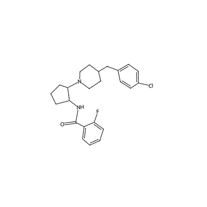 O=C(NC1CCCC1N1CCC(Cc2ccc(Cl)cc2)CC1)c1ccccc1F